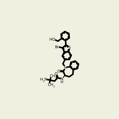 CC(C)(N)CC(=O)N[C@@H]1CCc2ccccc2N(Cc2ccc3sc(-c4ccccc4CO)c(Br)c3c2)C1=O